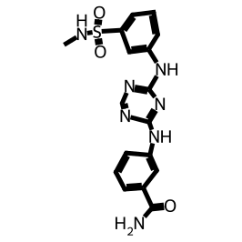 CNS(=O)(=O)c1cccc(Nc2ncnc(Nc3cccc(C(N)=O)c3)n2)c1